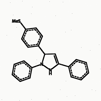 CSc1ccc(C2C=C(c3ccccc3)NN2c2ccccc2)cc1